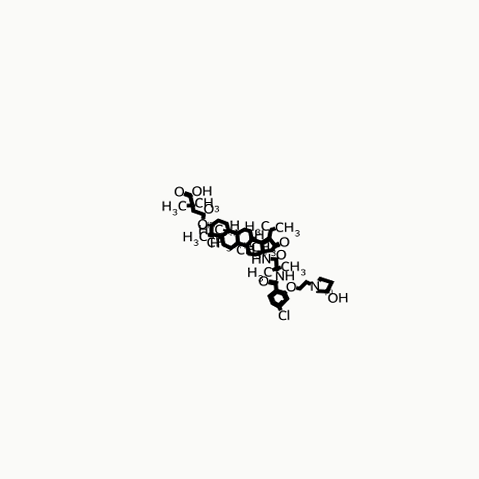 CC(C)C1=C2[C@H]3CC[C@@H]4[C@@]5(C)CC[C@H](OC(=O)CC(C)(C)C(=O)O)C(C)(C)[C@@H]5CC[C@@]4(C)[C@]3(C)CC[C@@]2(NC(=O)C(C)(C)NC(=O)c2ccc(Cl)cc2OCCN2CC[C@@H](O)C2)CC1=O